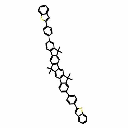 CC1(C)c2cc(-c3ccc(-c4cc5ccccc5s4)cc3)ccc2-c2cc3c(cc21)-c1cc2c(cc1C3(C)C)-c1ccc(-c3ccc(-c4cc5ccccc5s4)cc3)cc1C2(C)C